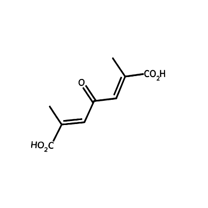 CC(=CC(=O)C=C(C)C(=O)O)C(=O)O